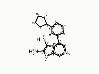 Nc1oc2cncc(-c3cccc(C4CCCC4)c3)c2c1N